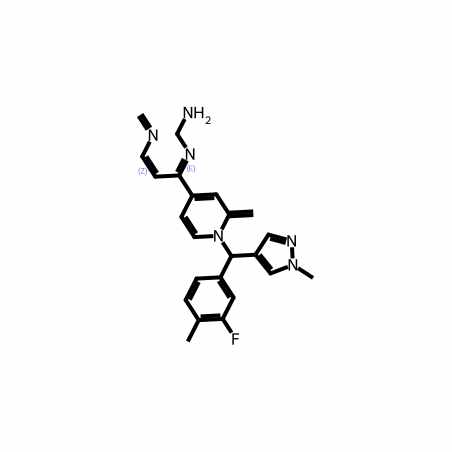 C=N/C=C\C(=N/CN)C1=CC(=C)N(C(c2ccc(C)c(F)c2)c2cnn(C)c2)C=C1